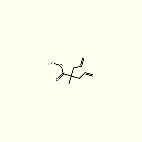 C=CCC(C)(CC=C)C(=O)OCCC